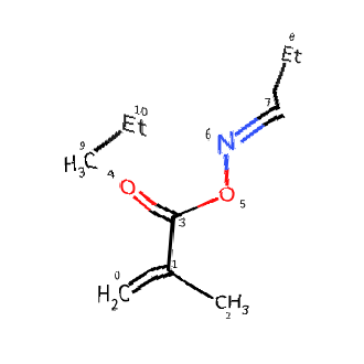 C=C(C)C(=O)ON=CCC.CCC